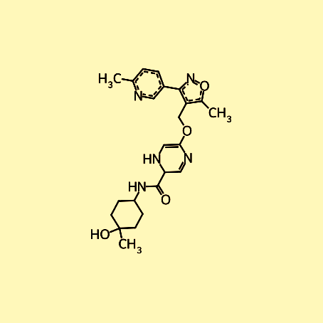 Cc1ccc(-c2noc(C)c2COC2=CNC(C(=O)NC3CCC(C)(O)CC3)C=N2)cn1